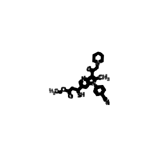 CCOC(=O)CC(S)c1cnc2c(C(=O)CN3CCCCC3)c(C)n(-c3ccc(C#N)cc3)c2c1